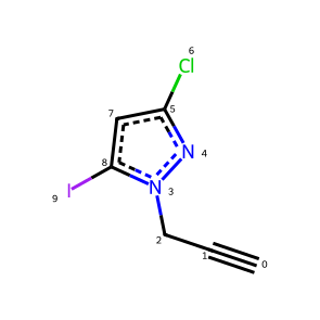 C#CCn1nc(Cl)cc1I